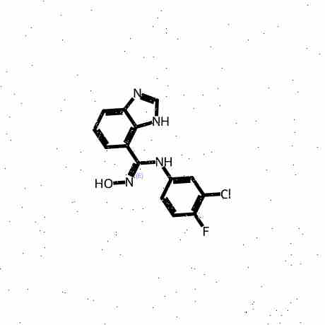 O/N=C(/Nc1ccc(F)c(Cl)c1)c1cccc2nc[nH]c12